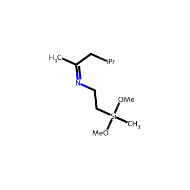 CO[Si](C)(CC/N=C(/C)CC(C)C)OC